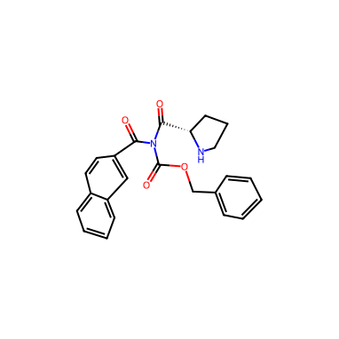 O=C(OCc1ccccc1)N(C(=O)c1ccc2ccccc2c1)C(=O)[C@@H]1CCCN1